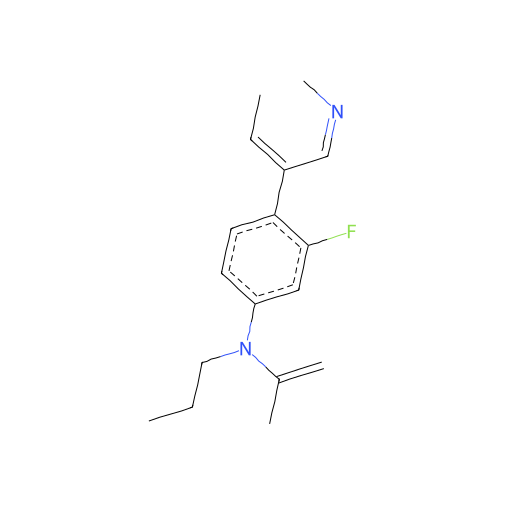 C=C(C)N(CCC)c1ccc(C(/C=N\C)=C/C)c(F)c1